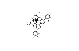 CCC(C)C1=Cc2c(-c3ccc(C)c(C)c3C)cccc2[CH]1[Hf]([CH]1C(C(C)CC)=Cc2c(-c3ccc(C)c(C)c3C)cccc21)[SiH](C)C